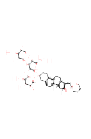 C[C@@H]1CC[C@@]2(OC1)O[C@H]1C[C@H]3[C@@H]4CC=C5C[C@@H](O[C@@H]6O[C@H](CO)[C@@H](O)[C@H](O[C@@H]7OC[C@@H](O)[C@H](O)[C@H]7O)[C@H]6O[C@@H]6O[C@@H](C)[C@H](O)[C@@H](O)[C@H]6O)CC[C@]5(C)[C@H]4CC[C@]3(C)[C@H]1[C@@H]2C